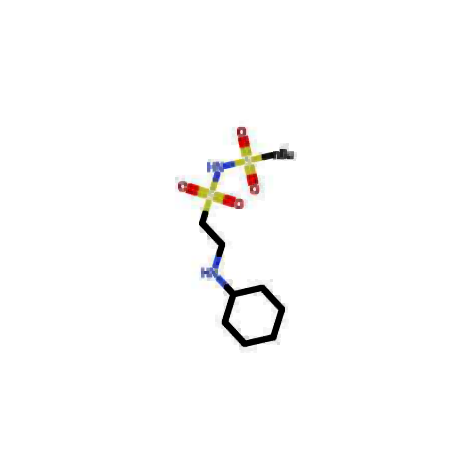 CCCCS(=O)(=O)NS(=O)(=O)CCNC1CCCCC1